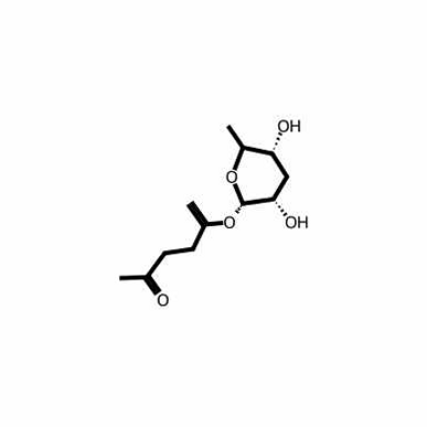 C=C(CCC(C)=O)O[C@@H]1OC(C)[C@H](O)C[C@@H]1O